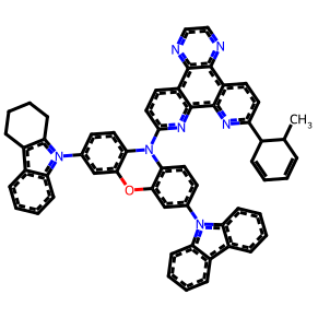 CC1C=CC=CC1c1ccc2c3nccnc3c3ccc(N4c5ccc(-n6c7c(c8ccccc86)CCCC7)cc5Oc5cc(-n6c7ccccc7c7ccccc76)ccc54)nc3c2n1